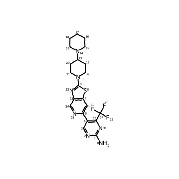 Nc1ncc(-c2cc3sc(N4CCC(N5CCCCC5)CC4)nc3cn2)c(C(F)(F)F)n1